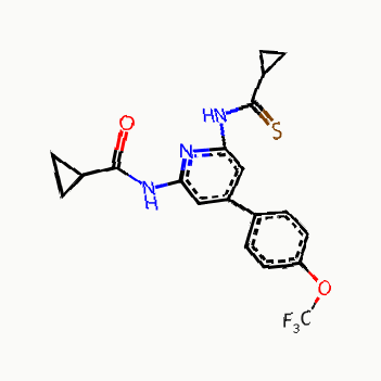 O=C(Nc1cc(-c2ccc(OC(F)(F)F)cc2)cc(NC(=S)C2CC2)n1)C1CC1